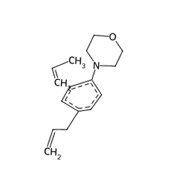 C=CC.C=CCc1ccc(N2CCOCC2)cc1